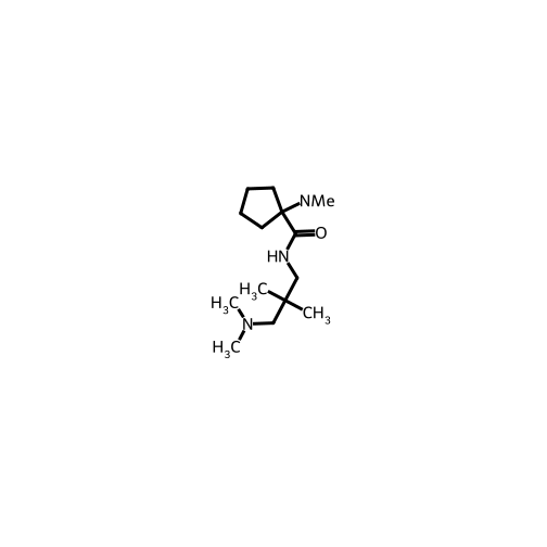 CNC1(C(=O)NCC(C)(C)CN(C)C)CCCC1